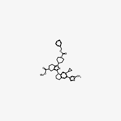 Cn1cc(-c2cc3c(cc2C2CC2)N(c2nn(C4CCN(C(=O)OCc5ccccc5)CC4)c4c2CN(C(=O)OC(C)(C)C)CC4)CCC3)cn1